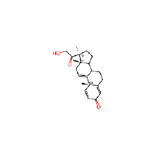 C[C@]12C=CC(=O)C=C1CCC1C2=CC[C@@]2(C)C1CC[C@]2(C)C(=O)CO